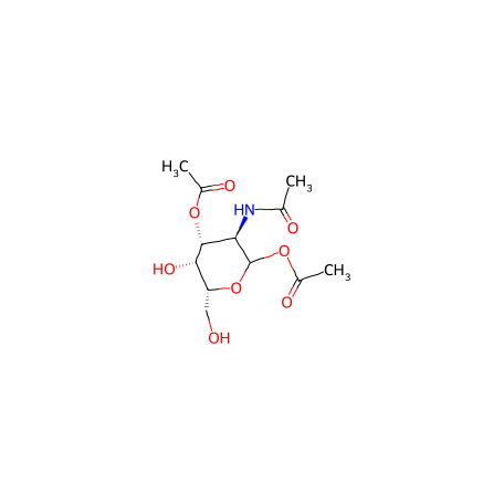 CC(=O)N[C@H]1C(OC(C)=O)O[C@H](CO)[C@H](O)[C@@H]1OC(C)=O